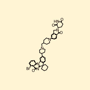 O=C1CCC(N2Cc3cc(N4CCC(CN5CCC(c6ccc7c(c6)-n6c(nc(=O)c8c(Br)cccc86)C76CCCCC6)CC5)CC4)ccc3C2=O)C(=O)N1